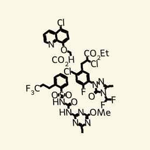 CCOC(=O)C(Cl)Cc1cc(-n2nc(C)n(C(F)F)c2=O)c(F)cc1Cl.COc1nc(C)nc(NC(=O)NS(=O)(=O)c2ccccc2CCC(F)(F)F)n1.O=C(O)COc1ccc(Cl)c2cccnc12